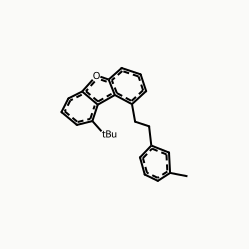 Cc1cccc(CCc2cccc3oc4cccc(C(C)(C)C)c4c23)c1